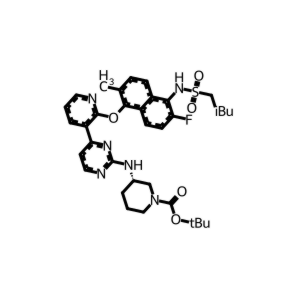 CCC(C)CS(=O)(=O)Nc1c(F)ccc2c(Oc3ncccc3-c3ccnc(N[C@H]4CCCN(C(=O)OC(C)(C)C)C4)n3)c(C)ccc12